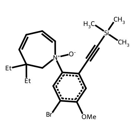 CCC1(CC)C=CC=C[N+]([O-])(c2cc(Br)c(OC)cc2C#C[Si](C)(C)C)C1